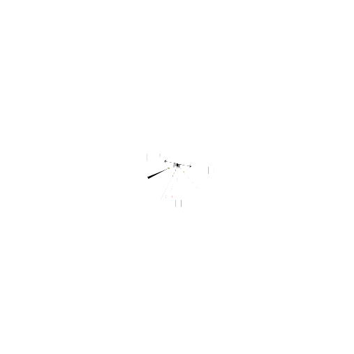 C[C@@H]1[C@H](C)[C@H]2S[C@@H]1[S+]2[O-]